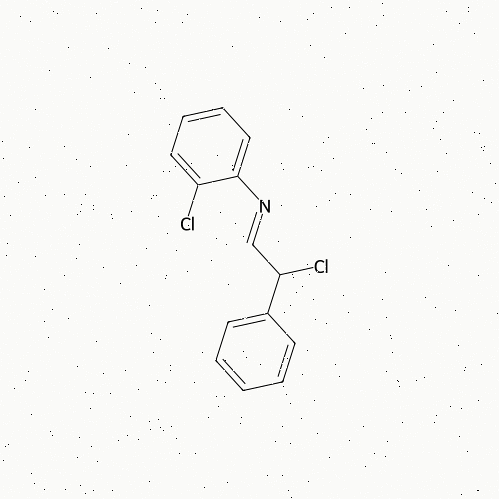 Clc1ccccc1N=CC(Cl)c1ccccc1